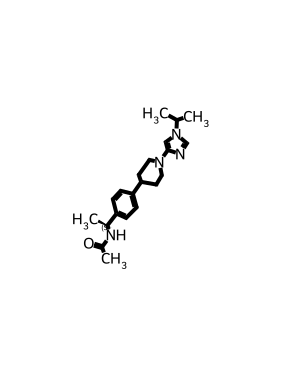 CC(=O)N[C@@H](C)c1ccc(C2CCN(c3cn(C(C)C)cn3)CC2)cc1